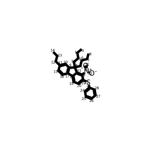 CCCCC1(CCCC)c2cc(CCC)ccc2-c2ccc(Sc3ccccc3)c([N+](=O)[O-])c21